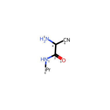 CC(C)NC(=O)C(N)C#N